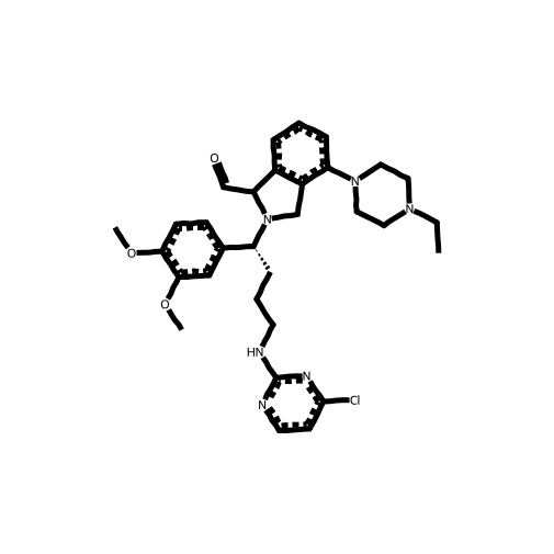 CCN1CCN(c2cccc3c2CN([C@H](CCCNc2nccc(Cl)n2)c2ccc(OC)c(OC)c2)C3C=O)CC1